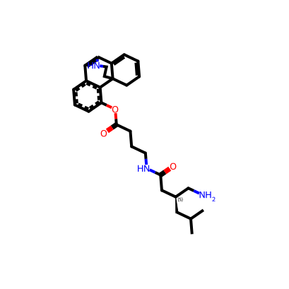 CC(C)C[C@H](CN)CC(=O)NCCCC(=O)Oc1cccc2c1C13CC=CC=C1C(=C2)NCC3